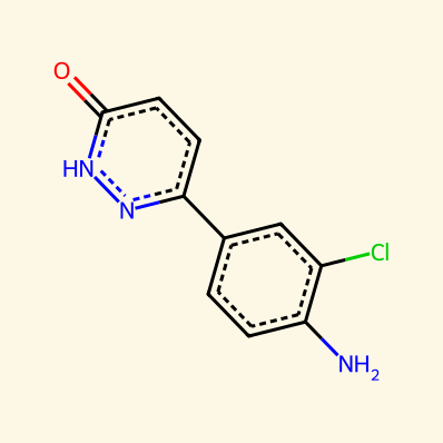 Nc1ccc(-c2ccc(=O)[nH]n2)cc1Cl